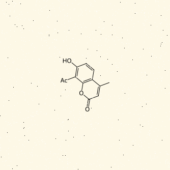 CC(=O)c1c(O)ccc2c(C)cc(=O)oc12